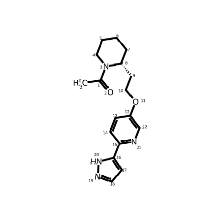 CC(=O)N1CCCC[C@@H]1CCOc1ccc(-c2ccn[nH]2)nc1